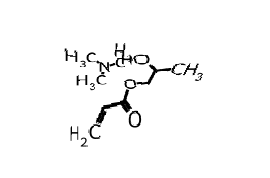 C=CC(=O)OCC(C)O.CN(C)C